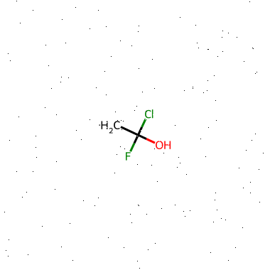 [CH2]C(O)(F)Cl